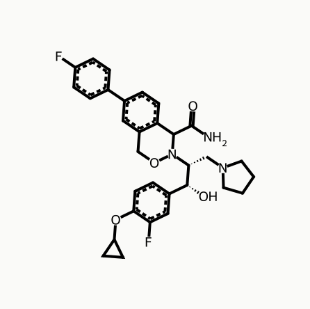 NC(=O)C1c2ccc(-c3ccc(F)cc3)cc2CON1[C@H](CN1CCCC1)[C@H](O)c1ccc(OC2CC2)c(F)c1